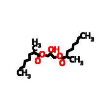 CCCCCCC(C)C(=O)OCC(O)COC(=O)C(C)CCCCCC